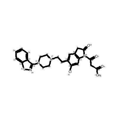 O=C(O)CC(=O)N1C(=O)Cc2cc(CCN3CCN(c4nsc5ccccc45)CC3)c(Cl)cc21